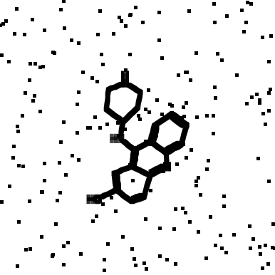 Oc1ccc2nc3ccccc3c(NC3CCNCC3)c2c1